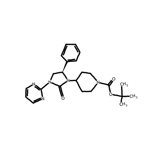 CC(C)(C)OC(=O)N1CCC(N2C(=O)N(c3ncccn3)C[C@H]2c2ccccc2)CC1